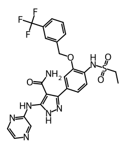 CCS(=O)(=O)Nc1ccc(-c2n[nH]c(Nc3cnccn3)c2C(N)=O)cc1OCc1cccc(C(F)(F)F)c1